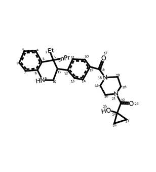 CCCC1(CC)c2ccccc2NCC1c1ccc(C(=O)N2CCN(C(=O)C3(O)CC3)CC2)cc1